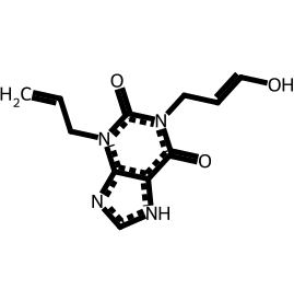 C=CCn1c(=O)n(CC=CO)c(=O)c2[nH]cnc21